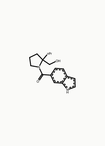 CCCC1(CO)CCCN1C(=O)c1ccc2cc[nH]c2c1